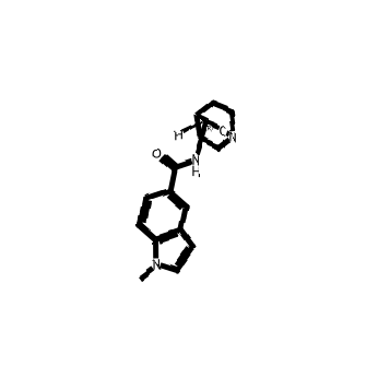 Cn1ccc2cc(C(=O)N[C@H]3CN4CCC3CC4)ccc21